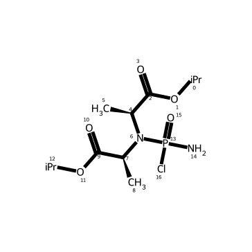 CC(C)OC(=O)[C@H](C)N([C@@H](C)C(=O)OC(C)C)P(N)(=O)Cl